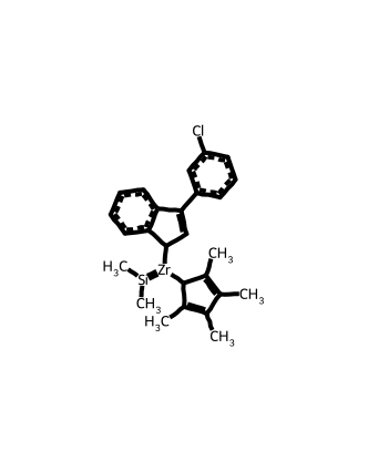 CC1=C(C)[CH]([Zr]([CH]2C=C(c3cccc(Cl)c3)c3ccccc32)=[Si](C)C)C(C)=C1C